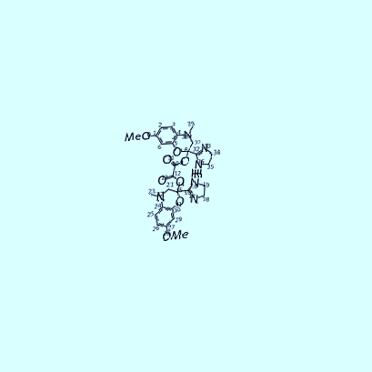 COc1ccc2c(c1)OC(OC(=O)C(=O)OC1(C3=NCCN3)CN(C)c3ccc(OC)cc3O1)(C1=NCCN1)CN2C